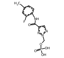 Cc1ccc(NC(=O)c2cnn(COP(=O)(O)O)n2)c(F)c1